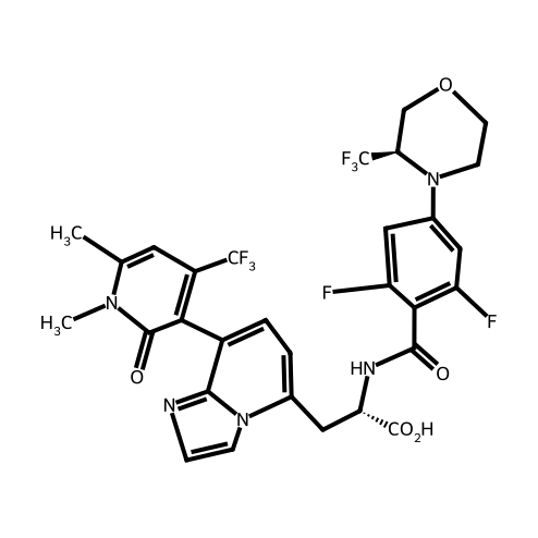 Cc1cc(C(F)(F)F)c(-c2ccc(C[C@H](NC(=O)c3c(F)cc(N4CCOC[C@@H]4C(F)(F)F)cc3F)C(=O)O)n3ccnc23)c(=O)n1C